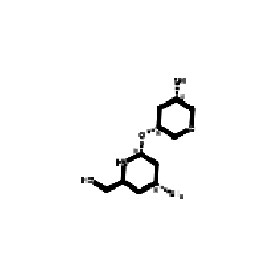 N[C@@H]1CC(CO)N[C@H](O[C@H]2COC[C@@H](O)C2)C1